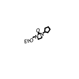 CCOCN1CCN(C2CCCC2)C1=O